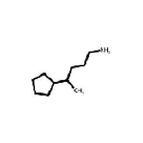 CC(CCCN)C1CCCC1